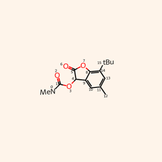 CNC(=O)OC1C(=O)Oc2c1cc(C)cc2C(C)(C)C